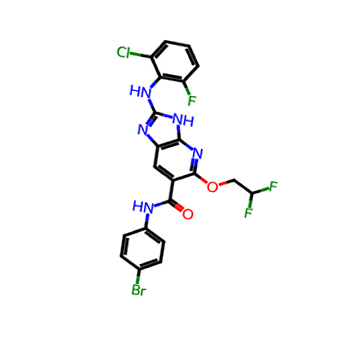 O=C(Nc1ccc(Br)cc1)c1cc2nc(Nc3c(F)cccc3Cl)[nH]c2nc1OCC(F)F